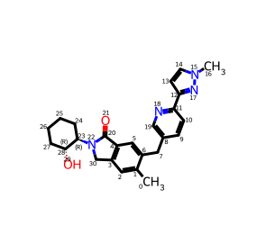 Cc1cc2c(cc1Cc1ccc(-c3ccn(C)n3)nc1)C(=O)N([C@@H]1CCCC[C@H]1O)C2